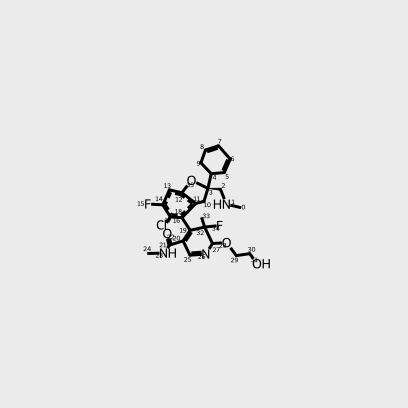 CNC[C@@]1(C2C=CC=CC2)Cc2c(cc(F)c(Cl)c2C2=C(C(=O)NC)C=NC(OCCO)C2(C)F)O1